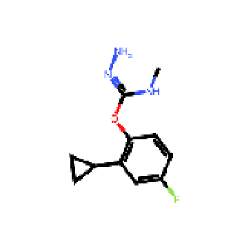 CN/C(=N\N)Oc1ccc(F)cc1C1CC1